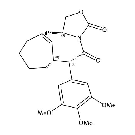 COc1cc([C@@H](C(=O)N2C(=O)OC[C@@H]2C(C)C)[C@H]2C=CCCCC2)cc(OC)c1OC